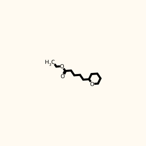 CCOC(=O)CCCCC1CCCCO1